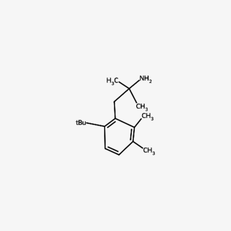 Cc1ccc(C(C)(C)C)c(CC(C)(C)N)c1C